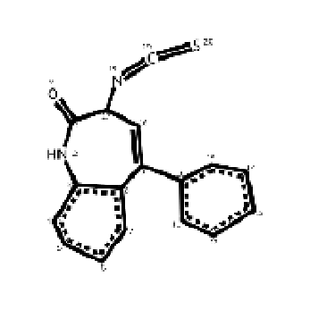 O=C1Nc2ccccc2C(c2ccccc2)=CC1N=C=S